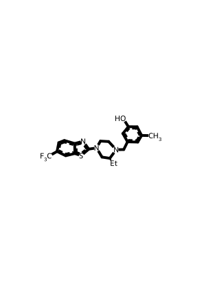 CC[C@@H]1CN(c2nc3ccc(C(F)(F)F)cc3s2)CCN1Cc1cc(C)cc(O)c1